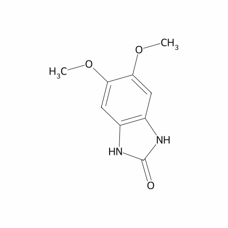 COc1cc2[nH]c(=O)[nH]c2cc1OC